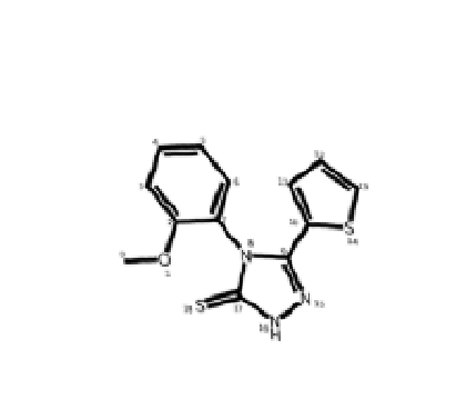 COc1ccccc1-n1c(-c2cccs2)n[nH]c1=S